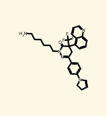 NCCCCCCN1N=C(c2ccc(N3C=CCC3)cc2)CC(c2cccc3ncccc23)(C(F)(F)F)C1=O